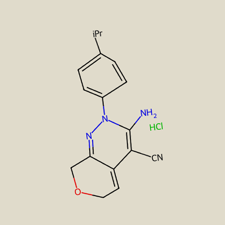 CC(C)c1ccc(N2N=C3COCC=C3C(C#N)=C2N)cc1.Cl